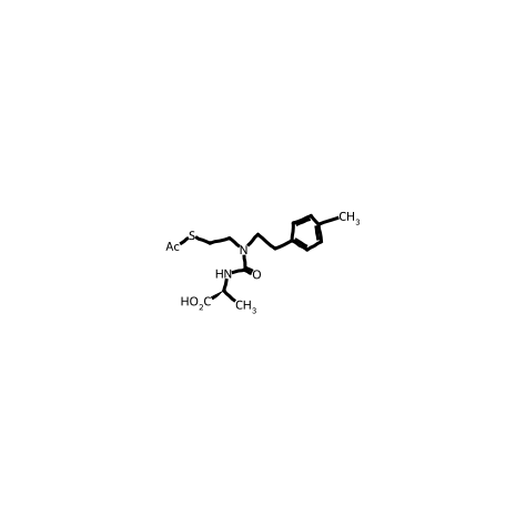 CC(=O)SCCN(CCc1ccc(C)cc1)C(=O)N[C@@H](C)C(=O)O